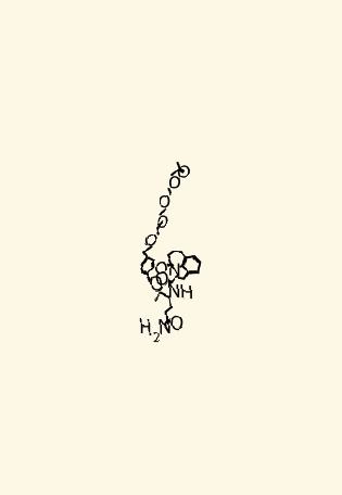 CC(=O)COCCOCCOCCOCCc1ccc(CO[C@H](C)[C@H](CCC(N)=O)NC(=O)[C@@H]2Cc3cccc4c3N2C(=O)CCC4)cc1